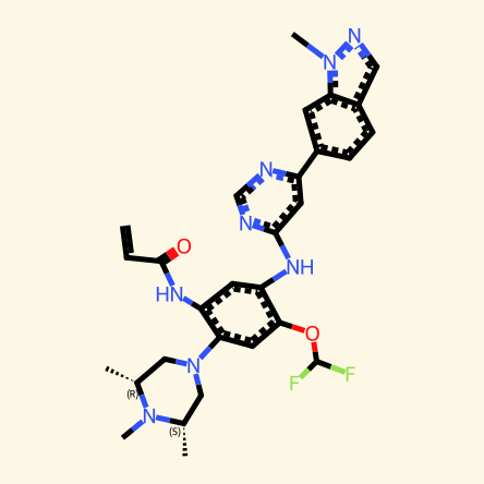 C=CC(=O)Nc1cc(Nc2cc(-c3ccc4cnn(C)c4c3)ncn2)c(OC(F)F)cc1N1C[C@@H](C)N(C)[C@@H](C)C1